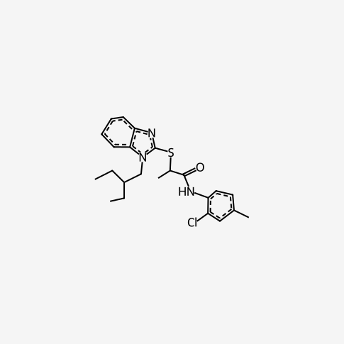 CCC(CC)Cn1c(SC(C)C(=O)Nc2ccc(C)cc2Cl)nc2ccccc21